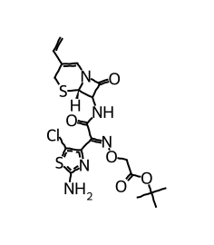 C=CC1=CN2C(=O)C(NC(=O)C(=NOCC(=O)OC(C)(C)C)c3nc(N)sc3Cl)[C@@H]2SC1